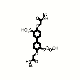 CCNC(=O)COc1ccc(-c2ccc(OCC(=O)NCC)c(S(=O)(=O)O)c2)cc1SOOO